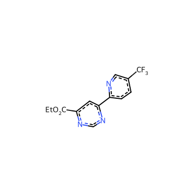 CCOC(=O)c1cc(-c2ccc(C(F)(F)F)cn2)ncn1